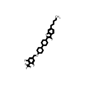 CCCCCc1ccc2c(F)c(C3CCC(C4CCC(OCc5cc(F)c(C(F)(F)F)c(F)c5)CC4)CC3)sc2c1